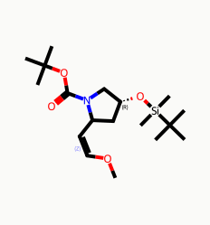 CO/C=C\C1C[C@@H](O[Si](C)(C)C(C)(C)C)CN1C(=O)OC(C)(C)C